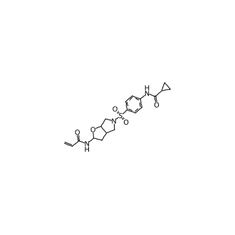 C=CC(=O)NC1CC2CN(S(=O)(=O)c3ccc(NC(=O)C4CC4)cc3)CC2O1